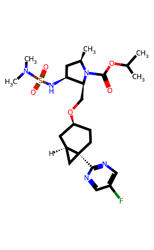 CC(C)OC(=O)N1[C@H](C)C[C@H](NS(=O)(=O)N(C)C)[C@@H]1CO[C@H]1CC[C@@]2(c3ncc(F)cn3)C[C@H]2C1